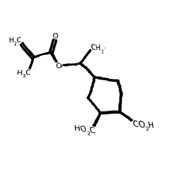 [CH2]C(OC(=O)C(=C)C)C1CCC(C(=O)O)C(C(=O)O)C1